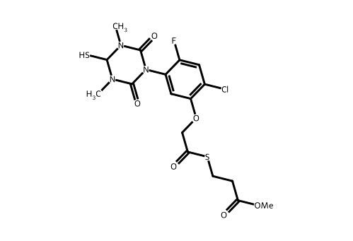 COC(=O)CCSC(=O)COc1cc(N2C(=O)N(C)C(S)N(C)C2=O)c(F)cc1Cl